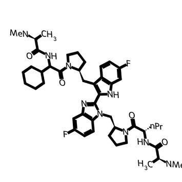 CCC[C@H](NC(=O)[C@H](C)NC)C(=O)N1CCC[C@H]1Cn1c(-c2[nH]c3cc(F)ccc3c2C[C@@H]2CCCN2C(=O)C(NC(=O)[C@H](C)NC)C2CCCCC2)nc2cc(F)ccc21